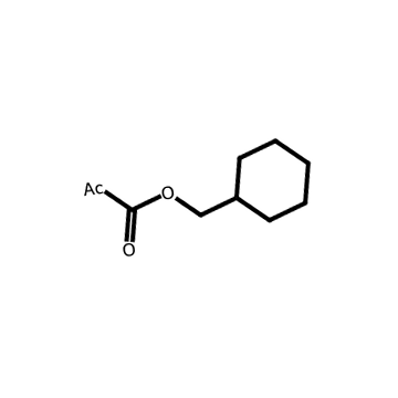 CC(=O)C(=O)OCC1CCCCC1